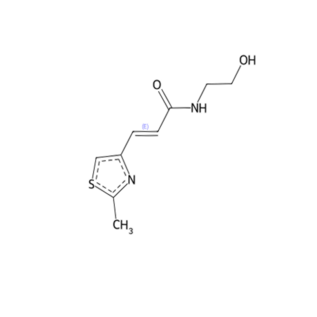 Cc1nc(/C=C/C(=O)NCCO)cs1